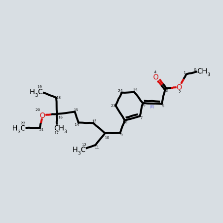 CCOC(=O)/C=C1/C=C(CC(CC)CCCC(C)(CC)OCC)CCC1